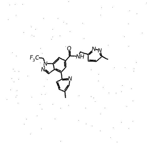 Cc1ccc(-c2cc(C(=O)NCc3ccc(C)nn3)cc3c2cnn3CC(F)(F)F)nc1